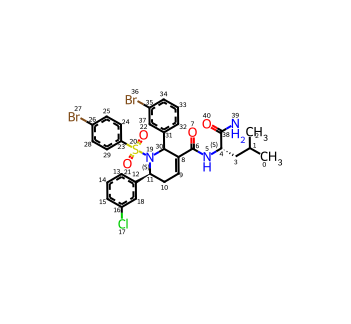 CC(C)C[C@H](NC(=O)C1=CC[C@@H](c2cccc(Cl)c2)N(S(=O)(=O)c2ccc(Br)cc2)C1c1cccc(Br)c1)C(N)=O